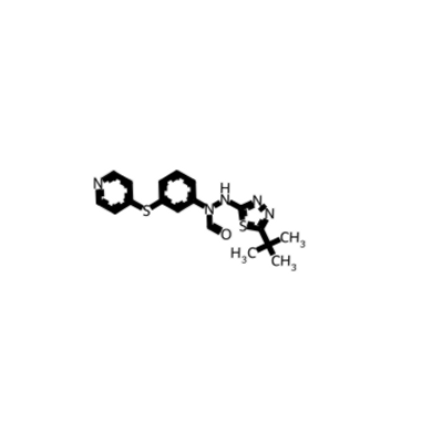 CC(C)(C)c1nnc(NN(C=O)c2cccc(Sc3ccncc3)c2)s1